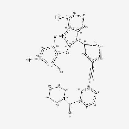 O=C(c1cccc(C#Cc2cccc(-c3c4cccc(C(F)(F)F)c4nn3Cc3c(F)cc(F)cc3F)c2)c1)N1CCOCC1